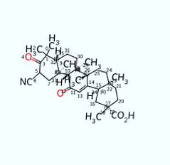 CC1(C)C(=O)C(C#N)C[C@]2(C)[C@H]3C(=O)C=C4[C@@H]5C[C@@](C)(C(=O)O)CC[C@]5(C)CC[C@@]4(C)[C@]3(C)CC[C@@H]12